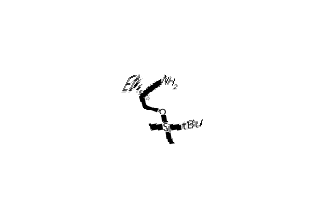 CC[C@H](N)CO[Si](C)(C)C(C)(C)C